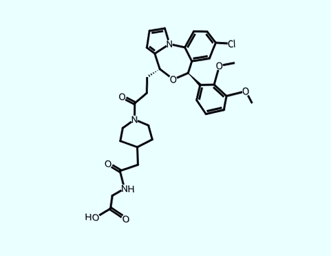 COc1cccc([C@H]2O[C@H](CCC(=O)N3CCC(CC(=O)NCC(=O)O)CC3)c3cccn3-c3ccc(Cl)cc32)c1OC